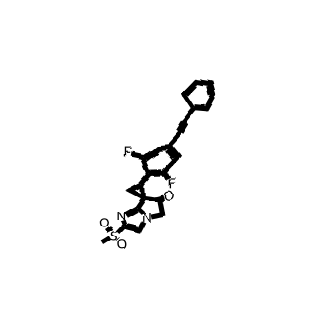 CS(=O)(=O)c1cn2c(n1)C1(CC1c1c(F)cc(C#Cc3ccccc3)cc1F)C(=O)C2